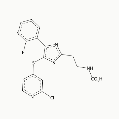 O=C(O)NCCc1nc(-c2cccnc2F)c(Sc2ccnc(Cl)c2)s1